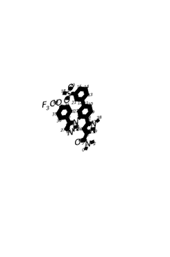 CN(C)C(=O)c1cc(-c2ccc(-c3cccc(S(C)(=O)=O)c3)cc2-n2nncc2-c2ccc(OC(F)(F)F)cc2)n(C)n1